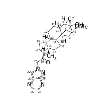 COCC[C@]12CC[C@@](C)(O)C[C@H]1CC[C@H]1[C@@H]3CC[C@H](C(=O)Cn4cc5nccnc5n4)[C@@]3(C)CC[C@@H]12